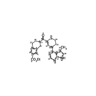 CCOC(=O)c1cn2c(n1)CN(C(=O)C1=CN(c3ncnc4[nH]cc(C)c34)CCS1)CC2